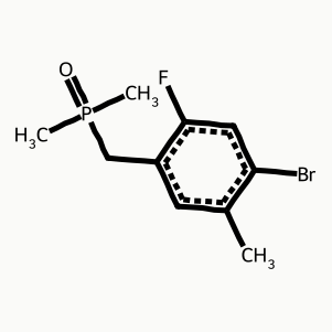 Cc1cc(CP(C)(C)=O)c(F)cc1Br